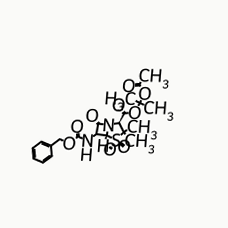 CC(=O)OC(C)(C)OC(=O)[C@@H]1N2C(=O)C(NC(=O)OCc3ccccc3)[C@H]2S(=O)(=O)C1(C)C